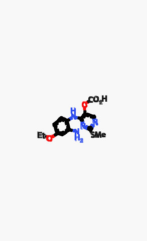 CCOc1ccc(Nc2nc(SC)ncc2OC(=O)O)c(N)c1